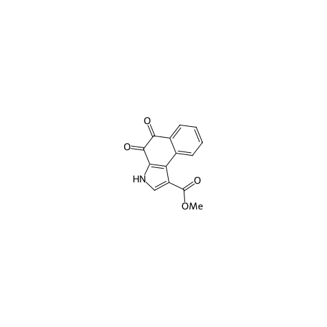 COC(=O)c1c[nH]c2c1-c1ccccc1C(=O)C2=O